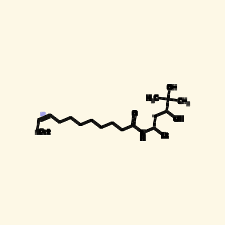 CCCCCCCC/C=C\CCCCCCCC(=O)NC([CH]C(O)C(C)(C)O)CC